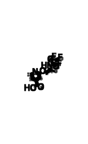 C[C@@H](COc1cc(C(=O)O)ccn1)NS(=O)(=O)C(F)(F)F